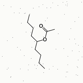 CCCCC(CCCC)OC(C)=O